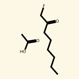 CC(=O)O.CCCCCCC(=O)CF